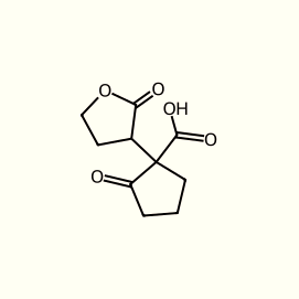 O=C1OCCC1C1(C(=O)O)CCCC1=O